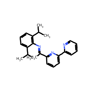 C/C(=N\c1c(C(C)C)cccc1C(C)C)c1cccc(-c2ccccn2)n1